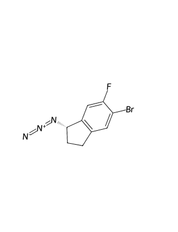 [N-]=[N+]=N[C@H]1CCc2cc(Br)c(F)cc21